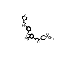 CC(=O)N1CCN(C(=O)C=Cc2ccc(Sc3cccc(NCCN4CCOCC4)c3)c(C(F)(F)F)c2)CC1